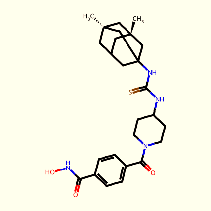 C[C@]12CC3CC(NC(=S)NC4CCN(C(=O)c5ccc(C(=O)NO)cc5)CC4)(C1)C[C@@](C)(C3)C2